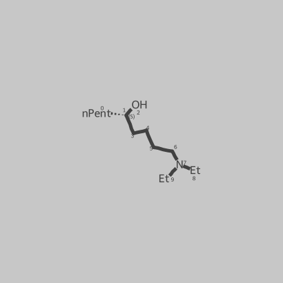 CCCCC[C@H](O)CCCCN(CC)CC